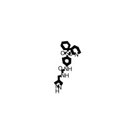 O=C(NCc1cn[nH]c1)Nc1ccc(S(=O)(=O)C2(c3cccnc3)C=CC=CC2)cc1